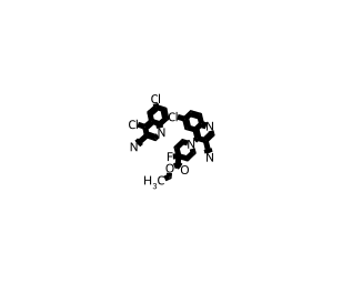 CCOC(=O)C1(F)CCN(c2c(C#N)cnc3ccc(Cl)cc23)CC1.N#Cc1cnc2ccc(Cl)cc2c1Cl